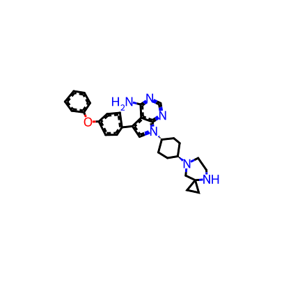 Nc1ncnc2c1c(-c1ccc(Oc3ccccc3)cc1)cn2[C@H]1CC[C@H](N2CCNC3(CC3)C2)CC1